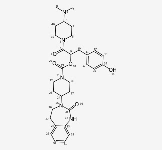 CN(C)C1CCN(C(=O)C(Cc2ccc(O)cc2)OC(=O)N2CCC(N3CCc4ccccc4NC3=O)CC2)CC1